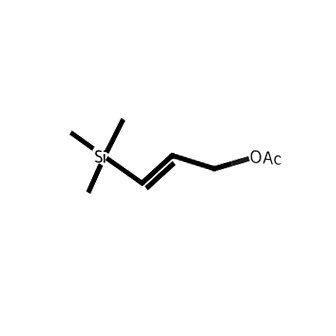 CC(=O)OCC=C[Si](C)(C)C